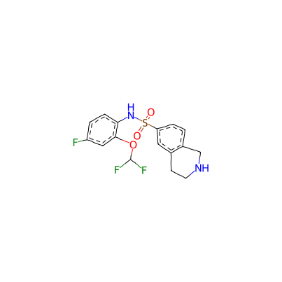 O=S(=O)(Nc1ccc(F)cc1OC(F)F)c1ccc2c(c1)CCNC2